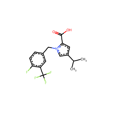 CC(C)c1cc(C(=O)O)n(Cc2ccc(F)c(C(F)(F)F)c2)c1